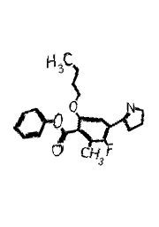 CCCCOc1cc(C2=NCCC2)c(F)c(C)c1C(=O)Oc1ccccc1